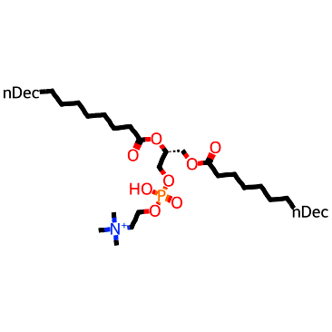 CCCCCCCCCCCCCCCCCC(=O)O[C@H](COC(=O)CCCCCCCCCCCCCCCC)COP(=O)(O)OCC[N+](C)(C)C